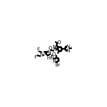 CC(=O)c1nn(CC(=O)N2C3C[C@]3(CN(CCF)CCF)C[C@H]2C(=O)Nc2nc(Br)ccc2C)c2c(C)cc(-c3cnc(C)nc3)cc12